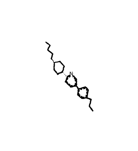 CCCCC[C@H]1CC[C@H](c2ccc(-c3ccc(CCC)cc3)cn2)CC1